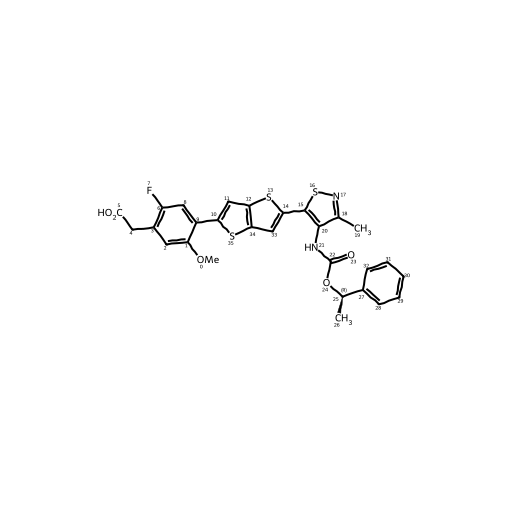 COc1cc(CC(=O)O)c(F)cc1-c1cc2sc(-c3snc(C)c3NC(=O)O[C@H](C)c3ccccc3)cc2s1